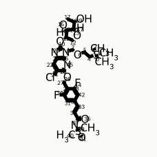 CS(C)(C)CCOCn1c(O[C@@H]2CO[C@H]3[C@@H]2OC[C@H]3O)nc2cc(Cl)c(OCc3c(F)cc(/C=C/C(=O)N=S(C)(C)=O)cc3F)nc21